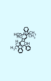 CC1(C)C2=CCCC=C2[N+](CCO)=C1C=C1C(O)C(/C=C2\N(Cc3ccccc3)c3ccccc3C2(C)C)C1O